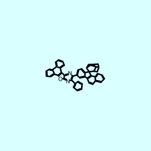 c1ccc(-c2nc3oc4c5ccccc5c5ccccc5c4c3nc2-c2ccc3c(c2)-c2ccc4ccccc4c2C32C3CC4CC(C3)CC2C4)cc1